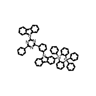 c1ccc(-c2nc(-c3cccc(-n4c5ccccc5c5ccc([Si]6(c7ccccc7)c7ccccc7[Si](c7ccccc7)(c7ccccc7)c7ccccc76)cc54)c3)nc(-n3c4ccccc4c4ccccc43)n2)cc1